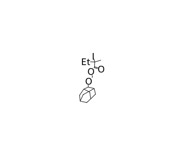 CCC(C)(I)C(=O)OCOC1C2CC3CC(C2)CC1C3